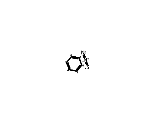 [N-]=[N+]=S.c1ccccc1